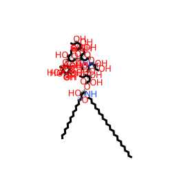 CCCCCCCCCCCCC/C=C/[C@@H](O)[C@H](CO[C@@H]1OC(CO)[C@@H](O[C@@H]2OC(CO)[C@H](O)[C@H](O[C@@H]3OC(CO)[C@@H](O[C@H]4OC(C)[C@@H](O)C(O)[C@@H]4O)[C@H](O[C@@H]4OC(CO)[C@H](O)[C@H](O[C@H]5OC(CO)[C@H](O)[C@H](O)C5O)C4O[C@H]4OC(C)[C@@H](O)C(O)[C@@H]4O)C3NC(C)=O)C2O)[C@H](O)C1O)NC(=O)CCCCCCCCCCCCCCCCCCCCCCC